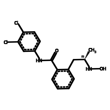 C[C@@H](Cc1ccccc1C(=O)Nc1ccc(Cl)c(Cl)c1)NO